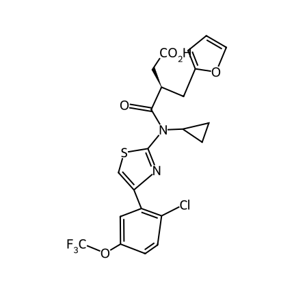 O=C(O)C[C@@H](Cc1ccco1)C(=O)N(c1nc(-c2cc(OC(F)(F)F)ccc2Cl)cs1)C1CC1